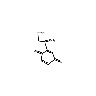 C=C(CCCCCCCC)C1=CC(=O)C=CC1=O